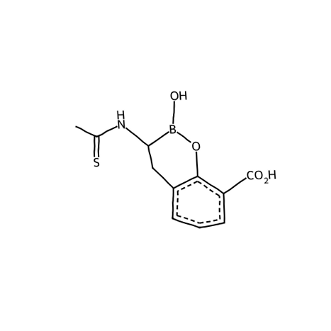 CC(=S)NC1Cc2cccc(C(=O)O)c2OB1O